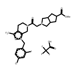 COC(=O)C1CC2CN(CC(=O)N3CCc4c(C(F)(F)F)nn(Cc5ccc(Cl)cc5F)c4C3)CC2C1.O=C(O)C(F)(F)F